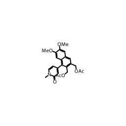 COc1cc2cc(COC(C)=O)c(COC(C)=O)c(-c3ccn(C)c(=O)c3)c2cc1OC